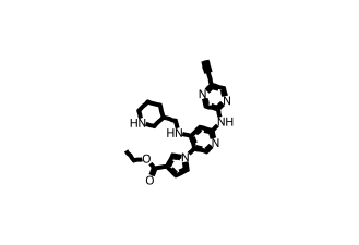 C#Cc1cnc(Nc2cc(NCC3CCCNC3)c(-n3ccc(C(=O)OCC)c3)cn2)cn1